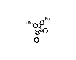 CC1C=C(c2ccccc2)C=[C]1[Zr](=[C]1CCCCC1)[CH]1c2ccc(C(C)(C)C)cc2-c2cc(C(C)(C)C)ccc21